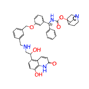 O=C(N[C@@H](c1ccccc1)c1cccc(OCc2cccc(CNCC(O)c3ccc(O)c4[nH]c(=O)ccc34)c2)c1)OC1CN2CCC1CC2